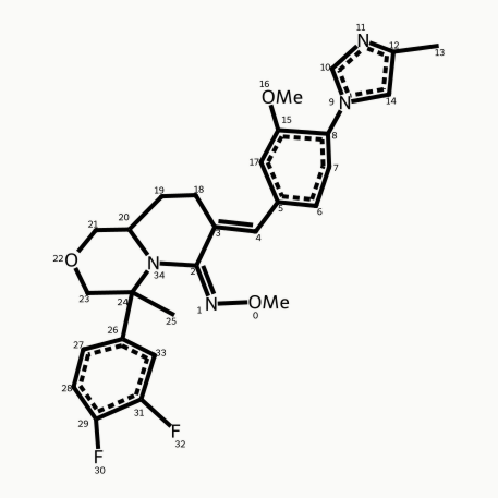 CO/N=C1\C(=C\c2ccc(-n3cnc(C)c3)c(OC)c2)CCC2COCC(C)(c3ccc(F)c(F)c3)N12